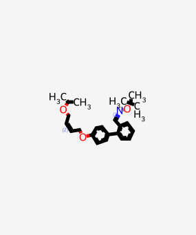 CC(C)OC/C=C\COc1ccc(-c2ccccc2/C=N\OC(C)(C)C)cc1